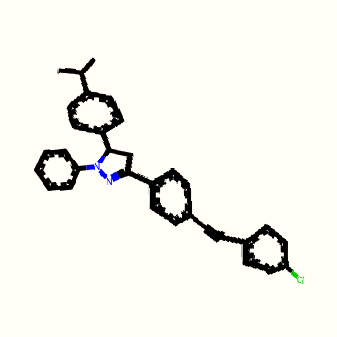 CC(C)c1ccc(C2CC(c3ccc(C#Cc4ccc(Cl)cc4)cc3)=NN2c2ccccc2)cc1